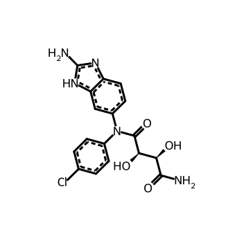 NC(=O)[C@H](O)[C@@H](O)C(=O)N(c1ccc(Cl)cc1)c1ccc2nc(N)[nH]c2c1